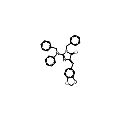 O=C1/C(=C/c2ccc3c(c2)OCO3)N=C(N(Cc2ccccc2)c2ccccc2)N1Cc1ccccc1